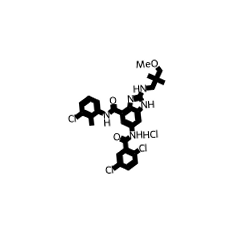 COCC(C)(C)CNc1nc2c(C(=O)Nc3cccc(Cl)c3C)cc(NC(=O)c3cc(Cl)ccc3Cl)cc2[nH]1.Cl